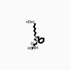 CCCCCCCCCCCCCCCCN1CN(CC(=O)NO)C2(CCCCC2)C1